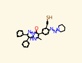 Cc1[nH]c2c(-c3ccccc3)c(-c3ccccc3)nn2c(=O)c1-c1ccc(N=NN2CCCCC2)c(C#CS)c1